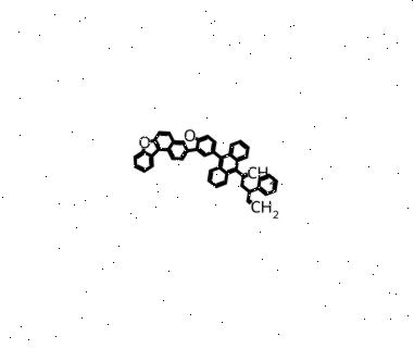 C=CC(CC(=C)c1c2ccccc2c(-c2ccc3oc4c(ccc5c4ccc4oc6ccccc6c45)c3c2)c2ccccc12)c1ccccc1